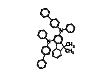 CC1(C)c2cc(N(c3ccccc3)c3ccc(-c4ccccc4)cc3)cc(N(c3ccccc3)c3ccc(-c4ccccc4)cc3)c2C2C=CC=CC21